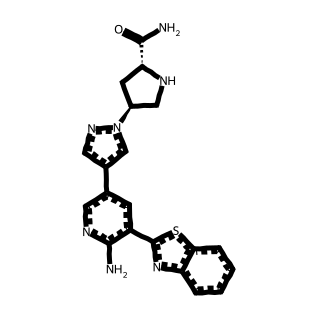 NC(=O)[C@H]1C[C@H](n2cc(-c3cnc(N)c(-c4nc5ccccc5s4)c3)cn2)CN1